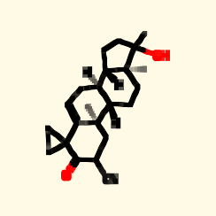 CC1(O)CC[C@H]2[C@@H]3CC=C4C5(CC5)C(=O)C(C#N)C[C@]4(C)[C@H]3CC[C@@]21C